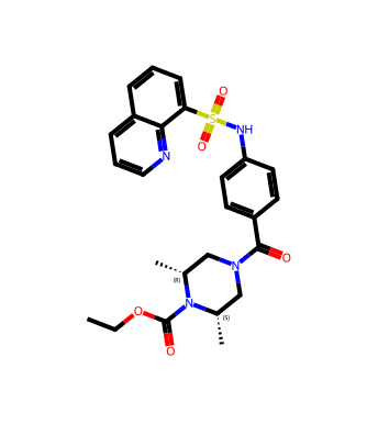 CCOC(=O)N1[C@H](C)CN(C(=O)c2ccc(NS(=O)(=O)c3cccc4cccnc34)cc2)C[C@@H]1C